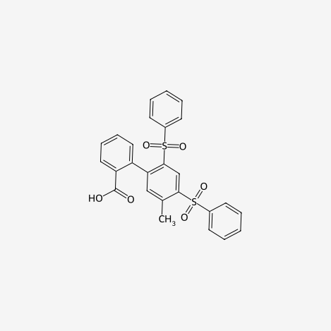 Cc1cc(-c2ccccc2C(=O)O)c(S(=O)(=O)c2ccccc2)cc1S(=O)(=O)c1ccccc1